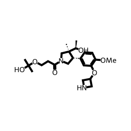 COc1ccc([C@@H]2CN(C(=O)CCOC(C)(C)O)C[C@@]2(C)[C@@H](C)O)cc1OC1CNC1